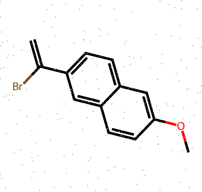 C=C(Br)c1ccc2cc(OC)ccc2c1